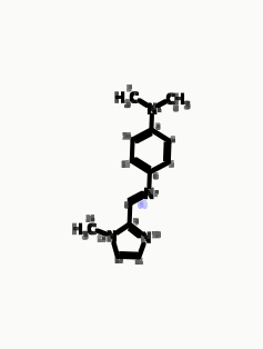 CN(C)c1ccc(/N=C/c2nccn2C)cc1